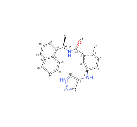 Cc1ccc(Nc2cn[nH]c2)cc1C(=O)N[C@H](C)c1cccc2ccccc12